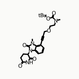 CN(CCOCC#Cc1cccc2c1n(C)c(=O)n2C1CCC(=O)NC1=O)C(=O)OC(C)(C)C